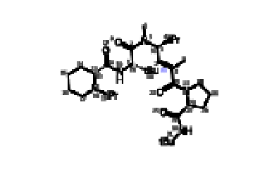 C/C(=C\[C@H](C(C)C)N(C)C(=O)[C@@H](NC(=O)[C@H]1CCCCN1C(C)C)C(C)(C)C)C(=O)N1CCC[C@H]1C(=O)NC(C)(C)C